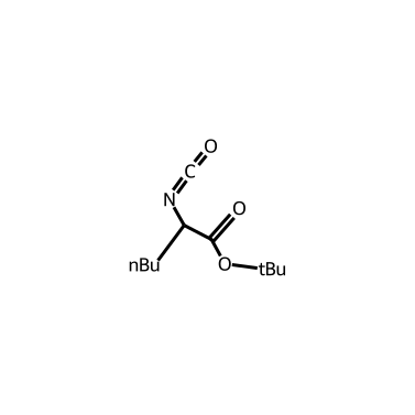 CCCCC(N=C=O)C(=O)OC(C)(C)C